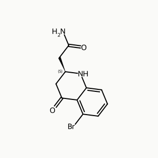 NC(=O)C[C@@H]1CC(=O)c2c(Br)cccc2N1